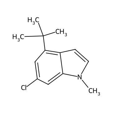 Cn1ccc2c(C(C)(C)C)cc(Cl)cc21